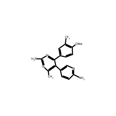 COc1ccc(-c2nc(N)nc(C)c2-c2ccc(N)nc2)cc1C(F)(F)F